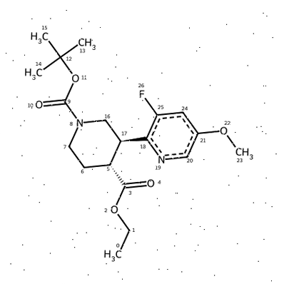 CCOC(=O)[C@@H]1CCN(C(=O)OC(C)(C)C)C[C@H]1c1ncc(OC)cc1F